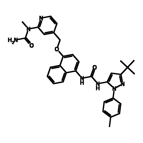 Cc1ccc(-n2nc(C(C)(C)C)cc2NC(=O)Nc2ccc(OCc3ccnc(N(C)C(N)=O)c3)c3ccccc23)cc1